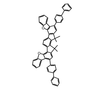 CC1(C)c2cc(-c3ccc(-c4ccccc4)cc3)c3c(oc4ccccc43)c2-c2ccc3c(c21)C(C)(C)c1cc(-c2ccc(-c4ccccc4)cc2)c2c(oc4ccccc42)c1-3